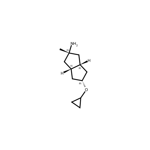 C[C@]1(N)C[C@H]2C[C@@H](OC3CC3)C[C@H]2C1